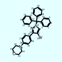 Brc1cn(C(c2ccccc2)(c2ccccc2)c2ccccc2)nc1-c1ccc(N2CCOCC2)cc1